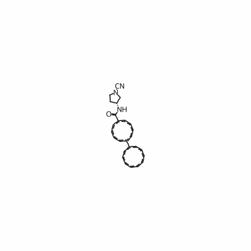 N#CN1CC[C@@H](NC(=O)c2ccccc(-c3ccccccccc3)cccc2)C1